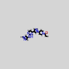 CCC(=O)N1CCC(n2cc(-c3ccnc(Nc4cnn(C)c4)n3)cn2)CC1